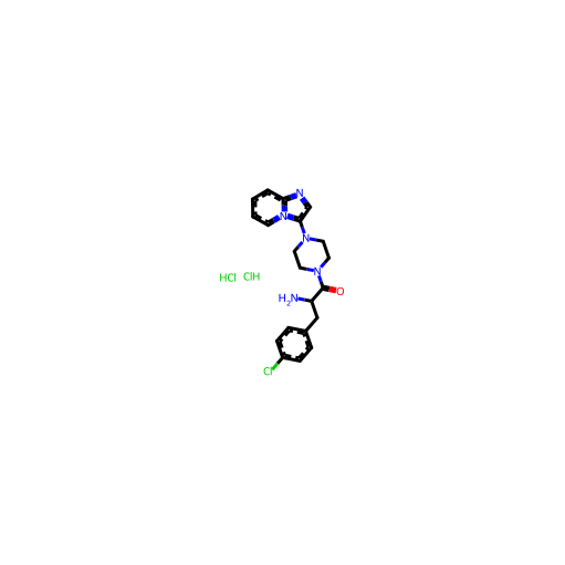 Cl.Cl.NC(Cc1ccc(Cl)cc1)C(=O)N1CCN(c2cnc3ccccn23)CC1